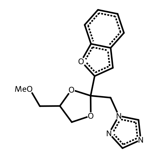 COCC1COC(Cn2cncn2)(c2cc3ccccc3o2)O1